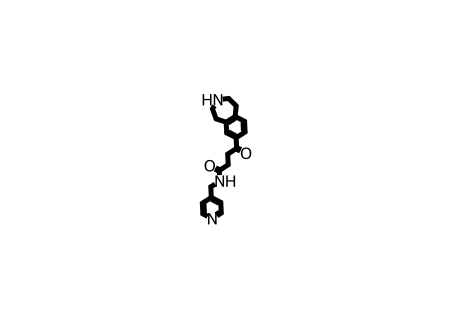 O=C(CCC(=O)c1ccc2c(c1)CCNCC2)NCc1ccncc1